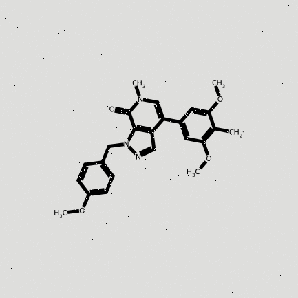 [CH2]c1c(OC)cc(-c2cn(C)c(=O)c3c2cnn3Cc2ccc(OC)cc2)cc1OC